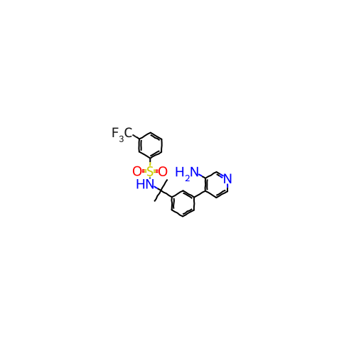 CC(C)(NS(=O)(=O)c1cccc(C(F)(F)F)c1)c1cccc(-c2ccncc2N)c1